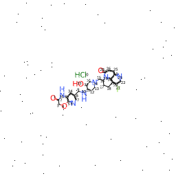 Cl.O=C1COc2ncc(CN[C@H]3CCN(CC4CCc5c(F)cnc6ccc(=O)n4c56)C[C@H]3O)cc2N1